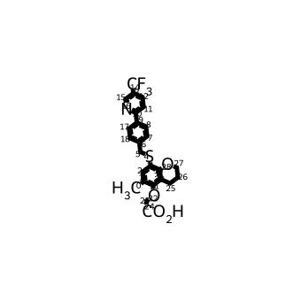 Cc1cc(SCc2ccc(-c3ccc(C(F)(F)F)cn3)cc2)c2c(c1OCC(=O)O)CCCO2